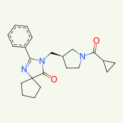 O=C(C1CC1)N1CC[C@@H](CN2C(=O)C3(CCCC3)N=C2c2ccccc2)C1